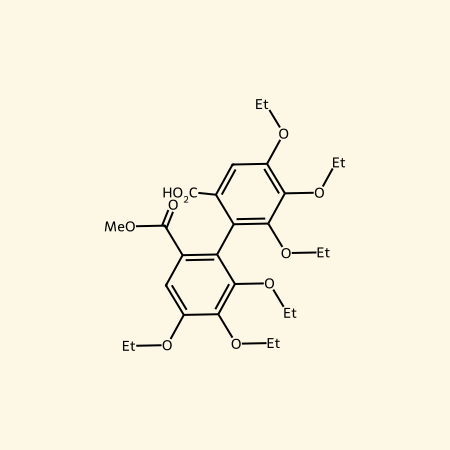 CCOc1cc(C(=O)O)c(-c2c(C(=O)OC)cc(OCC)c(OCC)c2OCC)c(OCC)c1OCC